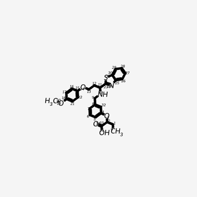 CCC(Oc1cccc(CNC(CCOc2ccc(OC)cc2)c2nc3ccccc3s2)c1)C(=O)O